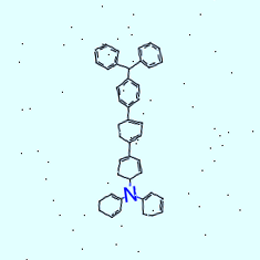 C1=CCCC(N(C2=CCCC=C2)C2C=CC(C3=CC=C(c4ccc(C(c5ccccc5)c5ccccc5)cc4)CC3)=CC2)=C1